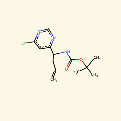 C=CCC(NC(=O)OC(C)(C)C)c1cc(Cl)ncn1